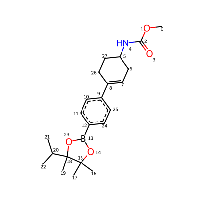 COC(=O)NC1CC=C(c2ccc(B3OC(C)(C)C(C)(C(C)C)O3)cc2)CC1